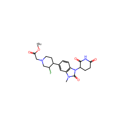 Cn1c(=O)n(C2CCC(=O)NC2=O)c2ccc(C3CCN(CC(=O)OC(C)(C)C)CC3F)cc21